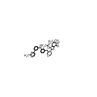 Cc1nccc(-c2cccc(Nc3cccc(CC4COCCN4C4SC5=C(CC(C)(C)NC5=O)N4OC(=O)C(F)(F)F)c3)c2)n1